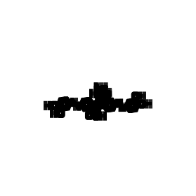 N.N.O=S(=O)(O)c1cc(/N=N/c2ccc(O)c(O)c2)ccc1/C=C/c1ccc(/N=N/c2ccc(O)c(O)c2)cc1S(=O)(=O)O